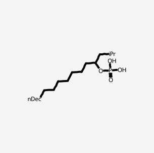 CCCCCCCCCCCCCCCCCC(CC(C)C)OP(=O)(O)O